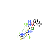 CC(C)(C)OC(=O)Nc1c(C(F)(F)F)sc(Nc2c(CF)sc(Nc3c(Cl)csc3C(F)F)c2Cl)c1Cl